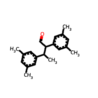 Cc1cc(C)cc(C(C)C(C=O)c2cc(C)cc(C)c2)c1